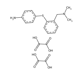 CN(C)Cc1ccccc1Sc1ccc(N)cc1.O=C(O)C(=O)O.O=C(O)C(=O)O